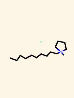 CCCCCCCCCC[N+]1(C)CCCC1.[F-]